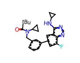 CC(C)(C)C(=O)N(Cc1cccc(-c2cc(F)c3ncnc(NC4CC4)c3c2)c1)C1CC1